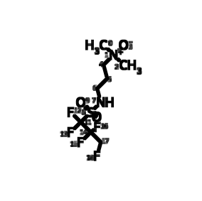 C[N+](C)([O-])CCCNS(=O)(=O)C(F)(F)C(F)(F)CF